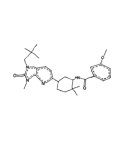 COc1cccc(C(=O)NC2CC(c3ccc4c(n3)n(C)c(=O)n4CC(C)(C)C)CCC2(C)C)c1